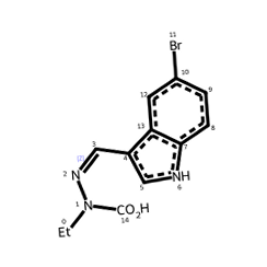 CCN(/N=C\c1c[nH]c2ccc(Br)cc12)C(=O)O